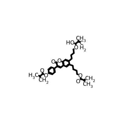 C=C(C)C(=O)OCCCCc1cc2cc(-c3ccc(OC(=O)C(=C)C)cc3)c(=O)oc2cc1CCCCOC(O)C(=C)C